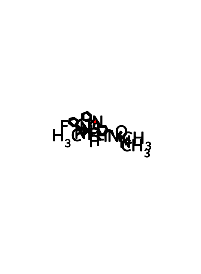 CN(C)CC(=O)NCc1cc(C(F)(F)F)c2oc(-c3cccc(-c4ccc(F)cc4-c4nncn4C)c3)nc2c1